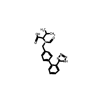 CC(C)C(C(=O)O)N(C=O)Cc1ccc(-c2ccccc2-c2nnn[nH]2)cc1